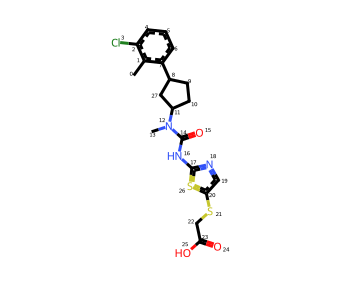 Cc1c(Cl)cccc1C1CCC(N(C)C(=O)Nc2ncc(SCC(=O)O)s2)C1